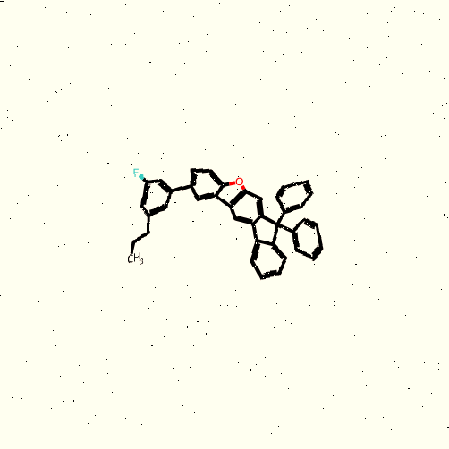 CCCc1cc(F)cc(-c2ccc3oc4cc5c(cc4c3c2)-c2ccccc2C5(c2ccccc2)c2ccccc2)c1